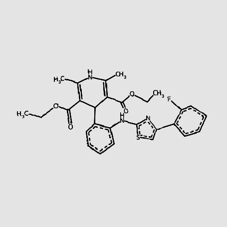 CCOC(=O)C1=C(C)NC(C)=C(C(=O)OCC)C1c1ccccc1Nc1nc(-c2ccccc2F)cs1